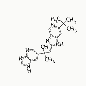 CC(C)(C)c1cc2[nH]c(CC(C)(C)c3cnc4nc[nH]c4c3)nc2cn1